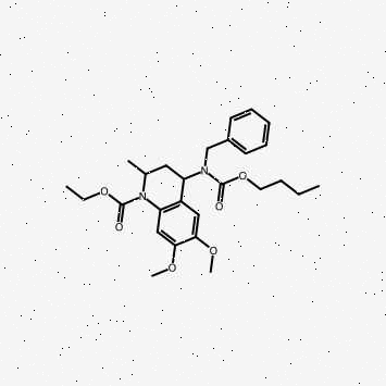 CCCCOC(=O)N(Cc1ccccc1)C1CC(C)N(C(=O)OCC)c2cc(OC)c(OC)cc21